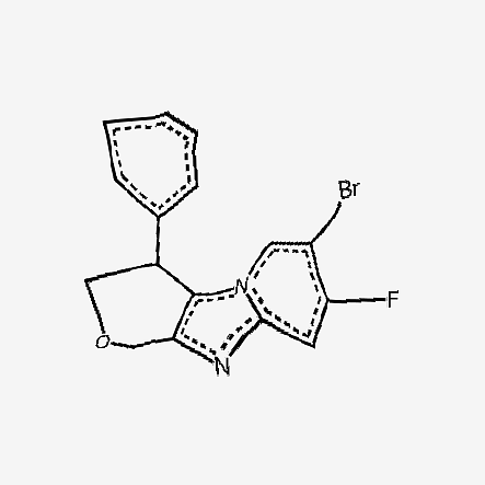 Fc1cc2nc3c(n2cc1Br)C(c1ccccc1)COC3